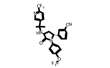 CC(C)(N[C@@H]1C[C@H](c2cccc(C#N)c2)N(c2ccc(OC(F)(F)F)cc2)C1=O)c1ccc(C(F)(F)F)nc1